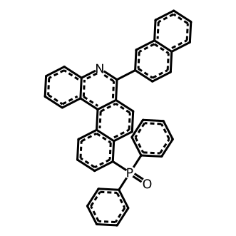 O=P(c1ccccc1)(c1ccccc1)c1cccc2c1ccc1c(-c3ccc4ccccc4c3)nc3ccccc3c12